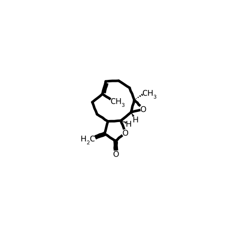 C=C1C(=O)O[C@H]2C1CC/C(C)=C/CC[C@@]1(C)O[C@@H]21